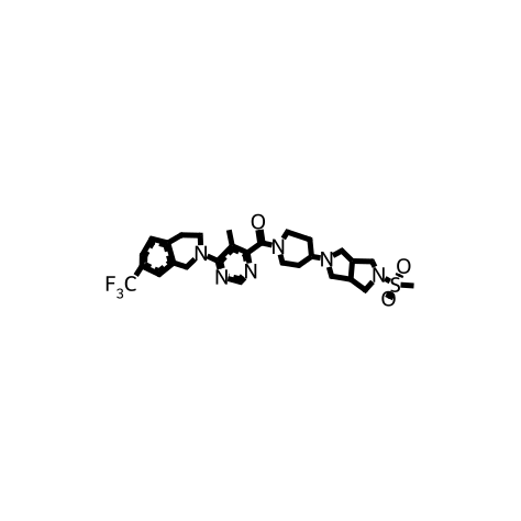 Cc1c(C(=O)N2CCC(N3CC4CN(S(C)(=O)=O)CC4C3)CC2)ncnc1N1CCc2ccc(C(F)(F)F)cc2C1